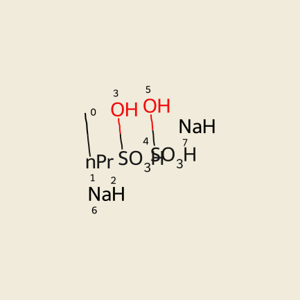 CCCC.O=S(=O)(O)O.O=S(=O)(O)O.[NaH].[NaH]